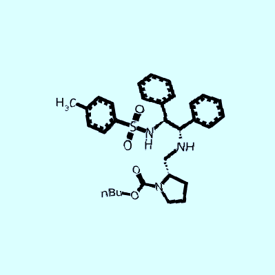 CCCCOC(=O)N1CCC[C@H]1CN[C@@H](c1ccccc1)[C@@H](NS(=O)(=O)c1ccc(C)cc1)c1ccccc1